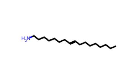 CCCCCCCCC=CCCCCCC[CH]N